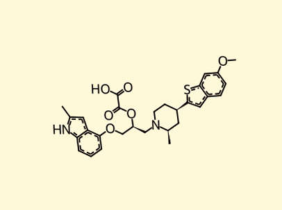 COc1ccc2cc([C@@H]3CCN(C[C@@H](COc4cccc5[nH]c(C)cc45)OC(=O)C(=O)O)[C@H](C)C3)sc2c1